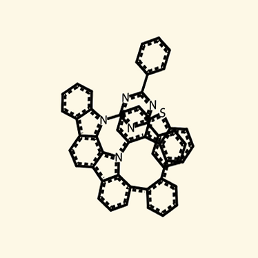 c1ccc(-c2nc(-c3ccccc3)nc(-n3c4ccccc4c4ccc5c6cccc7c8ccccc8c8cccc9sc%10cccc(c%10c98)n(c76)c5c43)n2)cc1